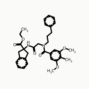 CCOC(=O)C1(NC(=O)CN(CCCc2ccccc2)C(=O)c2cc(OC)c(C)c(OC)c2)Cc2ccccc2C1